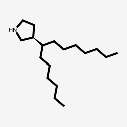 CCCCCCCC(CCCCCC)[C@@H]1CCNC1